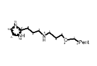 CCCC(C)COCCCNCCCc1ncc[nH]1